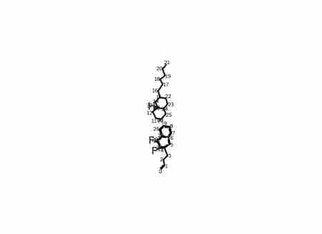 C=CCCc1cc2ccc([C@@H]3CC[C@@H]4CC(CCCCCC)CCC4C3)cc2c(F)c1F